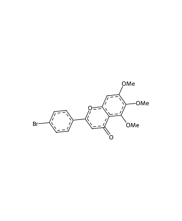 COc1cc2oc(-c3ccc(Br)cc3)cc(=O)c2c(OC)c1OC